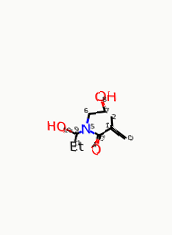 C=C(C)C(=O)N(CCO)C(O)CC